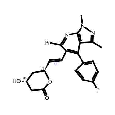 Cc1nn(C)c2nc(C(C)C)c(/C=C/[C@@H]3C[C@@H](O)CC(=O)O3)c(-c3ccc(F)cc3)c12